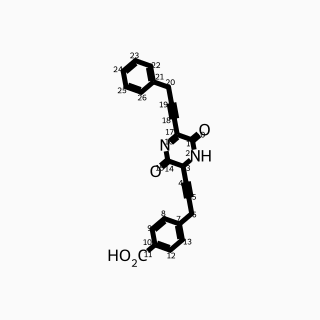 O=C1NC(C#CCc2ccc(C(=O)O)cc2)C(=O)N=C1C#CCc1ccccc1